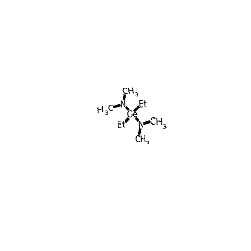 C[CH2][Ge]([CH2]C)([N](C)C)[N](C)C